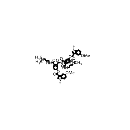 COc1ccc2[nH]cc(C(=O)OC3CC4CC3C(C(=O)NC(=O)C3C5CC(CC5OC(=O)c5c[nH]c6ccc(OC)cc56)C3C(=O)NCCCN(C)C)C4C(=O)NCCCN(C)C)c2c1